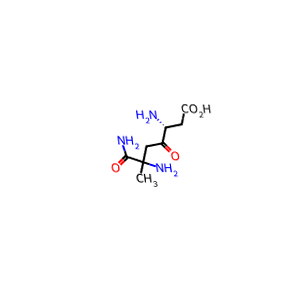 CC(N)(CC(=O)[C@H](N)CC(=O)O)C(N)=O